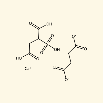 O=C(O)CC(C(=O)O)S(=O)(=O)O.O=C([O-])CCC(=O)[O-].[Ca+2]